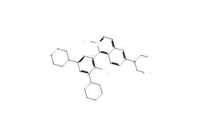 CCC(CC)c1ccc2c(-c3cc(C4CCCCC4)cc(C4CCCCC4)c3C)[n+](C)ccc2c1